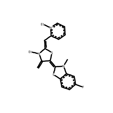 C=C1/C(=C2\Sc3ccc(F)cc3N2C)S/C(=C\c2cccc[n+]2CC)N1CC